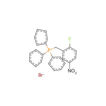 O=[N+]([O-])c1ccc(F)c(C[P+](c2ccccc2)(c2ccccc2)c2ccccc2)c1.[Br-]